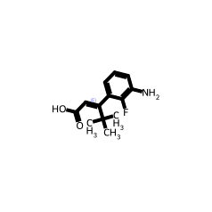 CC(C)(C)/C(=C\C(=O)O)c1cccc(N)c1F